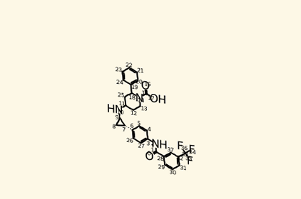 O=C(Nc1ccc([C@@H]2C[C@H]2NC2CCN(C(=O)O)C(c3ccccc3)C2)cc1)c1cccc(C(F)(F)F)c1